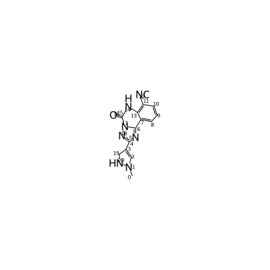 CN1C=C(c2nc3c4cccc(C#N)c4[nH]c(=O)n3n2)CN1